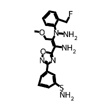 COC/C(=C(/N)c1nc(-c2cccc(SN)c2)no1)N(N)c1ccccc1CF